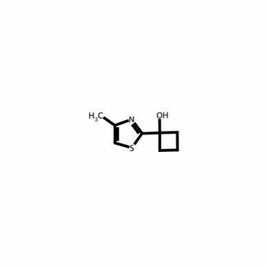 Cc1csc(C2(O)CCC2)n1